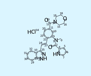 CN(C(=O)c1ccc[nH]1)c1cc(C(=O)N2CCOCC2)ccc1C=Cc1n[nH]c2ccccc12.Cl